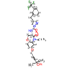 CN1C(=O)[C@@H](NC(=O)n2cc(Cc3cccc(C(F)(F)F)c3)cn2)COc2ccc(OCC#CC(C)(C)O)cc21